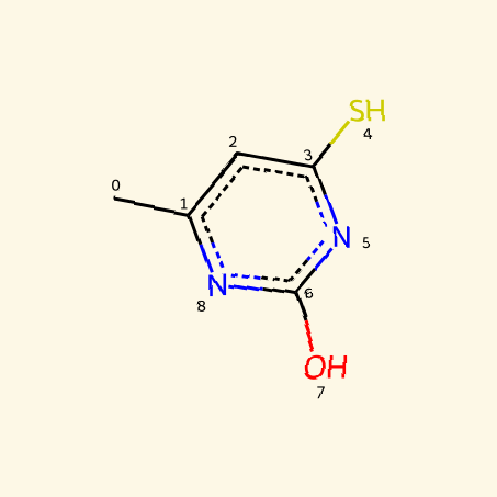 Cc1cc(S)nc(O)n1